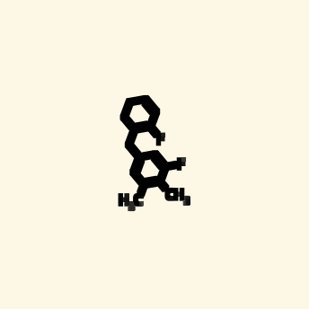 Cc1cc(CC2=C(F)C=CCC2)cc(F)c1C